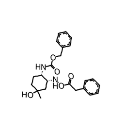 CC1(O)CC[C@H](NC(=O)OCc2ccccc2)[C@H](NOC(=O)Cc2ccccc2)C1